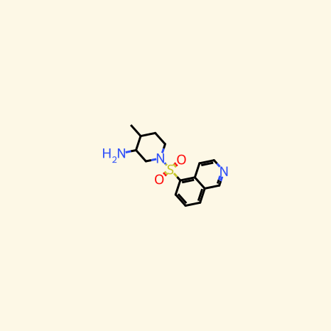 CC1CCN(S(=O)(=O)c2cccc3cnccc23)CC1N